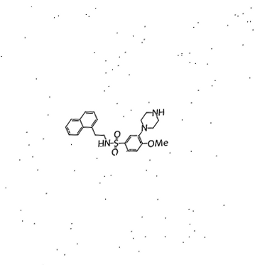 COc1ccc(S(=O)(=O)NCCc2cccc3ccccc23)cc1N1CCNCC1